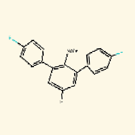 CCc1cc(-c2ccc(F)cc2)c(NC)c(-c2ccc(F)cc2)c1